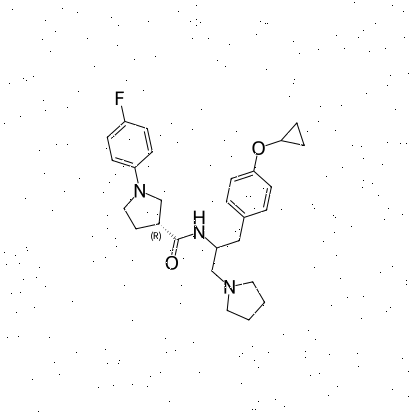 O=C(NC(Cc1ccc(OC2CC2)cc1)CN1CCCC1)[C@@H]1CCN(c2ccc(F)cc2)C1